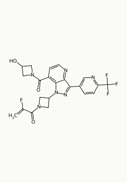 C=C(F)C(=O)N1CC(n2nc(-c3ccc(C(F)(F)F)nc3)c3nccc(C(=O)N4CC(O)C4)c32)C1